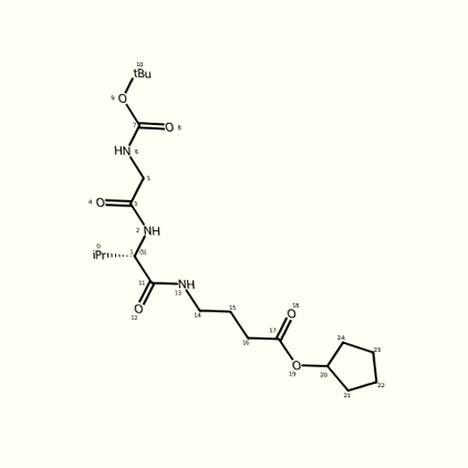 CC(C)[C@H](NC(=O)CNC(=O)OC(C)(C)C)C(=O)NCCCC(=O)OC1CCCC1